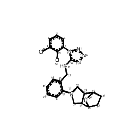 Clc1cccc(-n2nnnc2NCc2ccccc2N2CC3C4CCC(O4)C3C2)c1Cl